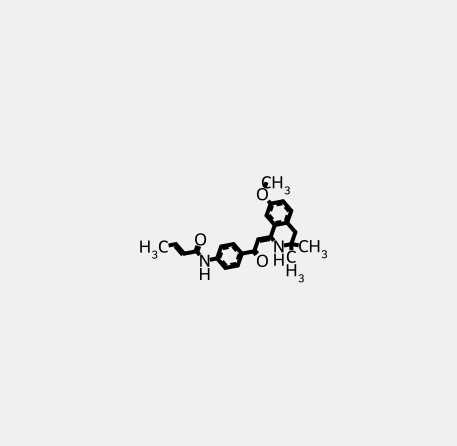 CC=CC(=O)Nc1ccc(C(=O)C=C2NC(C)(C)Cc3ccc(OC)cc32)cc1